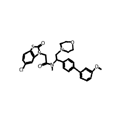 COc1cccc(-c2ccc(C(CN3CCOCC3)N(C)C(=O)Cn3c(=O)sc4ccc(Cl)cc43)cc2)c1